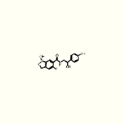 O=C(NCC(O)c1ccc(O)cc1)c1cc2c(cc1F)COB2O